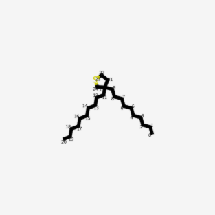 CCCCCCCCCCC1(CCCCCCCCCC)CCSC1